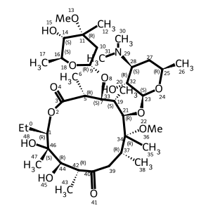 CC[C@H]1OC(=O)[C@H](C)[C@@H](O[C@H]2C[C@@](C)(OC)[C@@H](O)[C@H](C)O2)[C@H](C)[C@@H](O[C@@H]2O[C@H](C)C[C@H](N(C)C)[C@H]2O)[C@](C)(OC)[C@H](C)CC(=O)[C@H](C)[C@@H](O)[C@]1(C)O